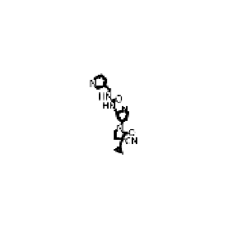 N#C[C@@]1(C2CC2)CCN(c2ccnc(NC(=O)NCc3cccnc3)c2)C1=O